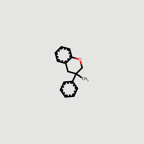 CC1(c2ccccc2)COc2ccccc2C1